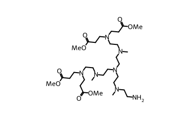 COC(=O)CCN(CCC(=O)OC)CCN(C)CCN(CCN(C)CCN)CCN(C)CCN(CCC(=O)OC)CCC(=O)OC